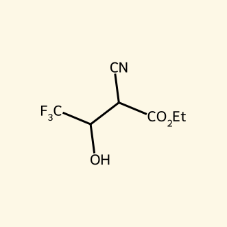 CCOC(=O)C(C#N)C(O)C(F)(F)F